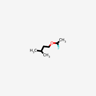 CC(C)CCOC(C)F